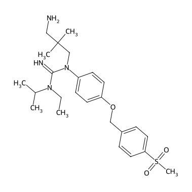 CCN(C(=N)N(CC(C)(C)CN)c1ccc(OCc2ccc(S(C)(=O)=O)cc2)cc1)C(C)C